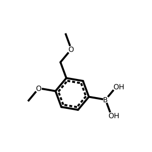 COCc1cc(B(O)O)ccc1OC